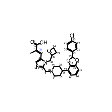 C/C(=C\c1cnc(CN2CCC(c3cccc4c3OC(c3ccc(Cl)cc3)O4)CC2)n1CC1CCO1)C(=O)O